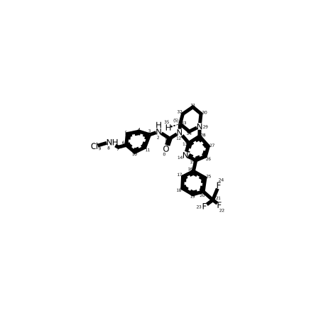 O=C(Nc1ccc(CNCl)cc1)N1c2nc(-c3cccc(C(F)(F)F)c3)ccc2N2CCC[C@H]1C2